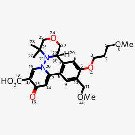 COCCCOc1cc2c(cc1COC)-c1cc(=O)c(C(=O)O)cn1N1[C@@H]2COCC1(C)C